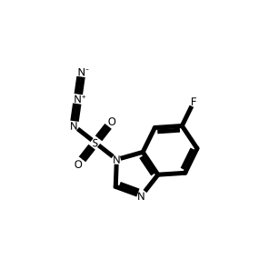 [N-]=[N+]=NS(=O)(=O)n1cnc2ccc(F)cc21